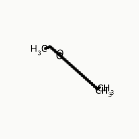 CCCC/C=C\CCCCCCCC(=O)OCCCCCCCCCCCCCCCCCCCCCCCCCCCCCCCCCCCCC(C)CC